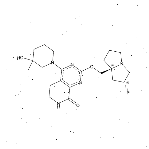 CC1(O)CCCN(c2nc(OC[C@@]34CCCN3C[C@H](F)C4)nc3c2CCNC3=O)C1